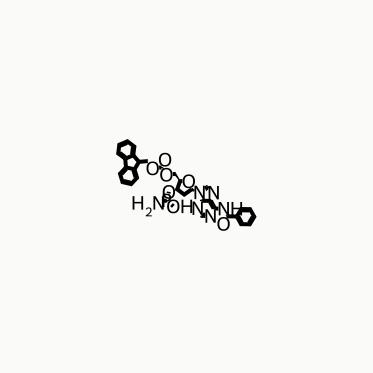 NP(O)O[C@H]1C[C@H](n2cnc3c(NC(=O)c4ccccc4)ncnc32)O[C@@H]1COC(=O)OCC1c2ccccc2-c2ccccc21